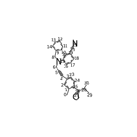 Cc1cc(C#CCN(Cc2ccccc2)c2cccc(C#N)c2)ccc1C(=O)C(C)C